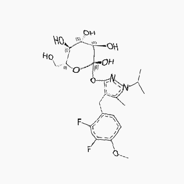 COc1ccc(Cc2c(O[C@]3(O)O[C@H](CO)[C@@H](O)[C@H](O)[C@H]3O)nn(C(C)C)c2C)c(F)c1F